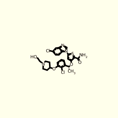 C[C@@H](Oc1cc(-n2cnc3cc(Cl)ccc32)sc1C(N)=O)c1cccc(OC2CCN(CCO)CC2)c1Cl